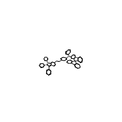 C(=C\c1ccc2c(-c3ccccc3)c(-c3ccccc3)n(-c3ccccc3)c2c1)/c1ccc(N(c2ccccc2)c2ccc3c(c2)C2(c4ccccc4-c4ccccc42)c2ccccc2-3)cc1